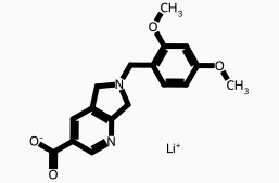 COc1ccc(CN2Cc3cc(C(=O)[O-])cnc3C2)c(OC)c1.[Li+]